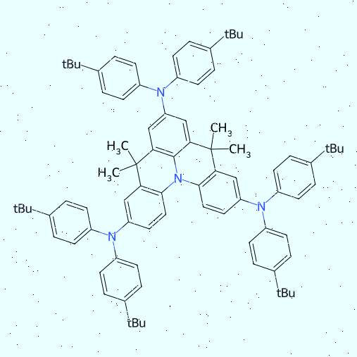 CC(C)(C)c1ccc(N(c2ccc(C(C)(C)C)cc2)c2ccc3c(c2)C(C)(C)c2cc(N(c4ccc(C(C)(C)C)cc4)c4ccc(C(C)(C)C)cc4)cc4c2N3c2ccc(N(c3ccc(C(C)(C)C)cc3)c3ccc(C(C)(C)C)cc3)cc2C4(C)C)cc1